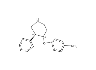 Nc1ccc(O[C@H]2CCNC[C@@H]2c2ccccc2)cc1